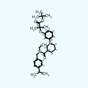 CCN(Cc1ccc(C(C)C)cc1)C(=O)C1CCCN(c2cccc(OC(C)(C)C(=O)OC(C)(C)C)c2)C1